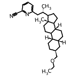 CCOC[C@H]1CC[C@@H]2C3CC[C@@]4(C)C(CCC4[C@@H](C)Cc4cccc(C#N)n4)[C@@H]3CC[C@@H]2C1